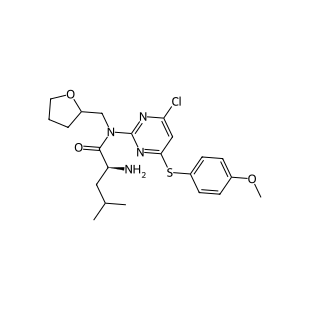 COc1ccc(Sc2cc(Cl)nc(N(CC3CCCO3)C(=O)[C@@H](N)CC(C)C)n2)cc1